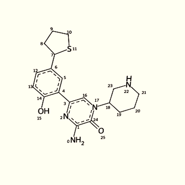 Nc1nc(-c2cc(C3CCCS3)ccc2O)cn(C2CCCNC2)c1=O